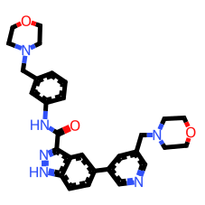 O=C(Nc1cccc(CN2CCOCC2)c1)c1n[nH]c2ccc(-c3cncc(CN4CCOCC4)c3)cc12